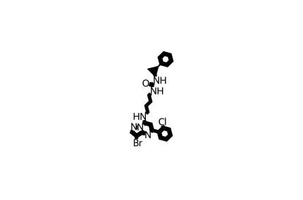 O=C(NCCCCNc1cc(-c2ccccc2Cl)nc2c(Br)cnn12)NC1C[C@H]1c1ccccc1